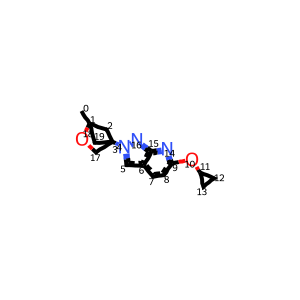 CC12CC(n3cc4ccc(OC5CC5)nc4n3)(CO1)C2